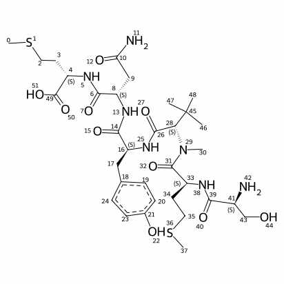 CSCC[C@H](NC(=O)[C@H](CC(N)=O)NC(=O)[C@H](Cc1ccc(O)cc1)NC(=O)[C@@H](N(C)C(=O)[C@H](CCSC)NC(=O)[C@@H](N)CO)C(C)(C)C)C(=O)O